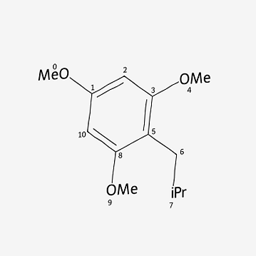 COc1cc(OC)c(CC(C)C)c(OC)c1